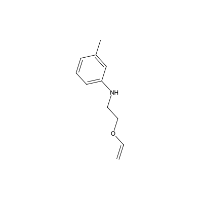 C=COCCNc1cccc(C)c1